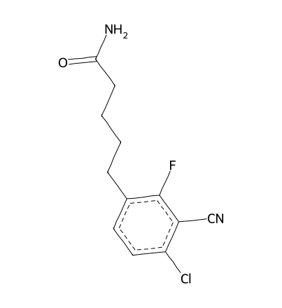 N#Cc1c(Cl)ccc(CCCCC(N)=O)c1F